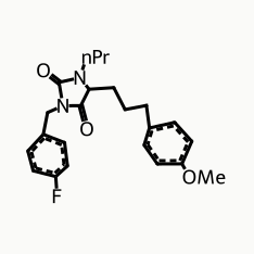 CCCN1C(=O)N(Cc2ccc(F)cc2)C(=O)C1CCCc1ccc(OC)cc1